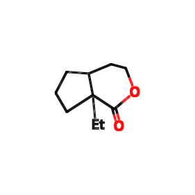 CCC12CCCC1CCOC2=O